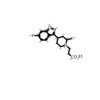 CCOC(=O)CCN1CCC(c2noc3cc(F)ccc23)CC1I